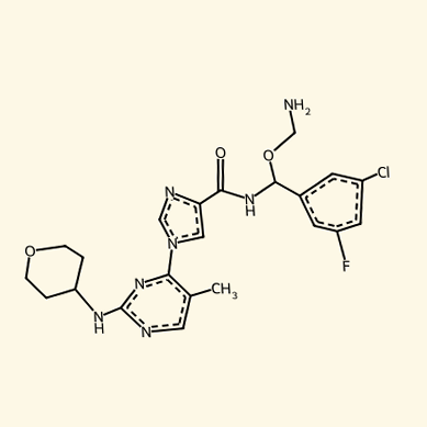 Cc1cnc(NC2CCOCC2)nc1-n1cnc(C(=O)NC(OCN)c2cc(F)cc(Cl)c2)c1